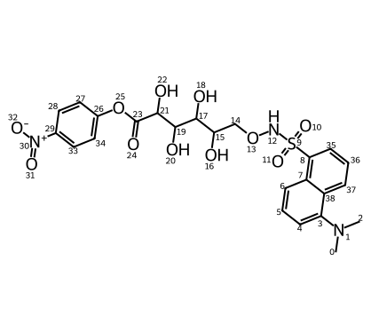 CN(C)c1cccc2c(S(=O)(=O)NOCC(O)C(O)C(O)C(O)C(=O)Oc3ccc([N+](=O)[O-])cc3)cccc12